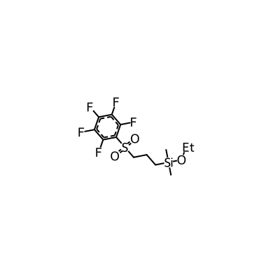 CCO[Si](C)(C)CCCS(=O)(=O)c1c(F)c(F)c(F)c(F)c1F